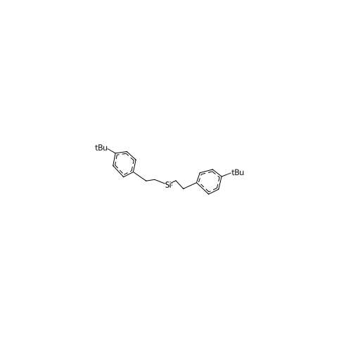 CC(C)(C)c1ccc(CC[Si]CCc2ccc(C(C)(C)C)cc2)cc1